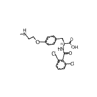 CNCCOc1ccc(C[C@H](NC(=O)c2c(Cl)cccc2Cl)C(=O)O)cc1